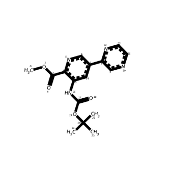 COC(=O)c1ncc(-c2cnccn2)cc1NC(=O)OC(C)(C)C